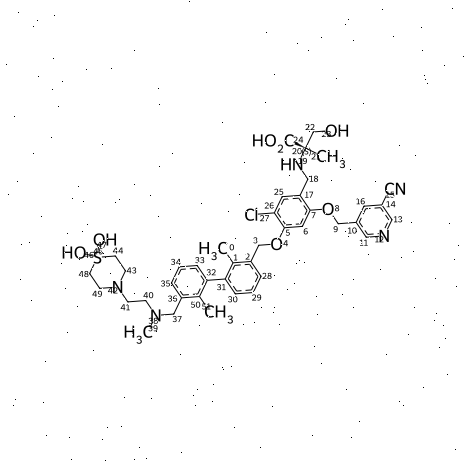 Cc1c(COc2cc(OCc3cncc(C#N)c3)c(CN[C@@](C)(CO)C(=O)O)cc2Cl)cccc1-c1cccc(CN(C)CCN2CCS(O)(O)CC2)c1C